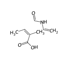 C=CNC=O.CC=C(C)C(=O)O